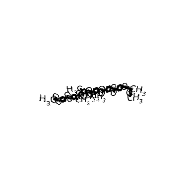 CCOC(C)CCOc1ccc(C(=O)Oc2ccc(C(=O)Oc3ccc(C(=O)Oc4cc(C)c(OC(=O)c5ccc(OC(=O)c6ccc(OC(C)=O)cc6)cc5C)c(C)c4C)c(C)c3)cc2)cc1